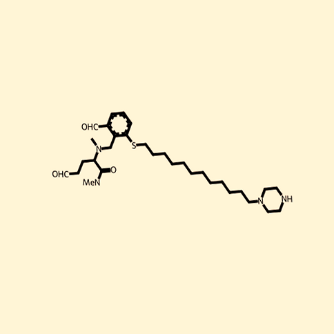 CNC(=O)C(CCC=O)N(C)Cc1c(C=O)cccc1SCCCCCCCCCCCCN1CCNCC1